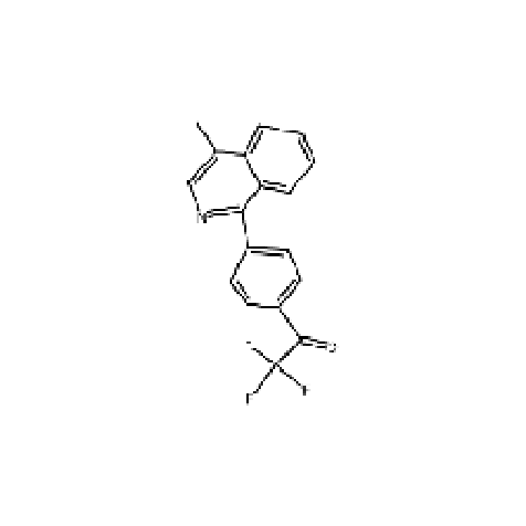 Cc1cnc(-c2ccc(C(=O)C(F)(F)F)cc2)c2ccccc12